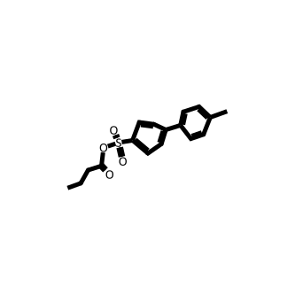 CCCC(=O)OS(=O)(=O)c1ccc(-c2ccc(C)cc2)cc1